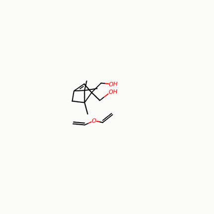 C=COC=C.CC1(C)C2=CC(CO)(CO)C1(C)C2